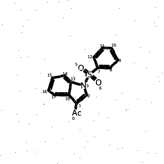 CC(=O)c1cn(S(=O)(=O)c2ccccc2)c2ccccc12